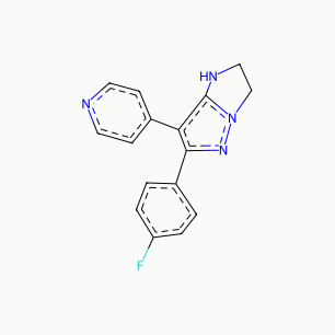 Fc1ccc(-c2nn3c(c2-c2ccncc2)NCC3)cc1